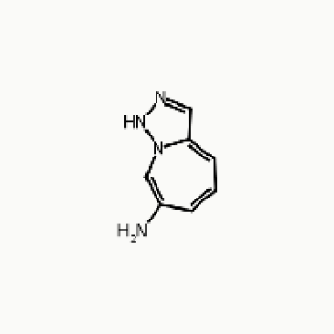 NC1=CN2NN=CC2=CC=C1